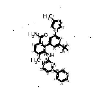 Cc1cn(-c2cc(-c3c(C(N)=O)ccc(C)c3Nc3nccc(-c4cccnc4)n3)cc(C(F)(F)F)c2)cn1